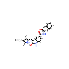 CCOC(=O)c1c(C)[nH]c(/C=C2\C(=O)Nc3ccc(C(=O)N[C@H](Cc4ccccc4)C(=O)OC)cc32)c1C